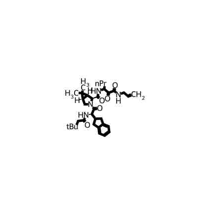 C=CCNC(=O)C(=O)C(CCC)NC(=O)[C@@H]1[C@H]2[C@@H](CN1C(=O)[C@@H](NC(=O)CC(C)(C)C)C1Cc3ccccc3C1)C2(C)C